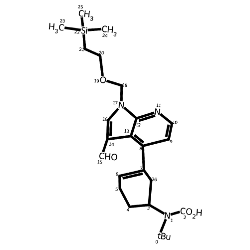 CC(C)(C)N(C(=O)O)C1CCC=C(c2ccnc3c2c(C=O)cn3COCC[Si](C)(C)C)C1